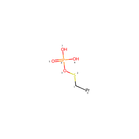 CC(C)CSOP(=O)(O)O